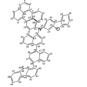 c1ccc(-c2cccc3cccc(-c4ccc(N(c5ccc6c(c5)oc5ccccc56)c5ccc(-c6ccc(-c7cccc8c7sc7ccccc78)c7ccccc67)c6ccccc56)cc4)c23)cc1